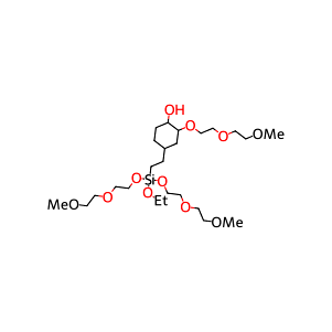 CCO[Si](CCC1CCC(O)C(OCCOCCOC)C1)(OCCOCCOC)OCCOCCOC